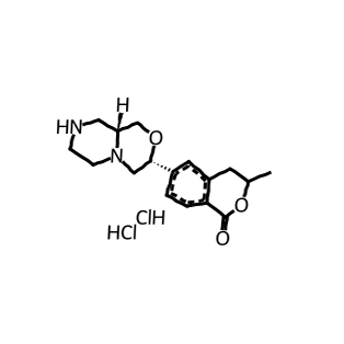 CC1Cc2cc([C@@H]3CN4CCNC[C@@H]4CO3)ccc2C(=O)O1.Cl.Cl